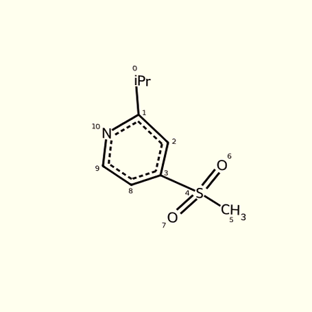 CC(C)c1cc(S(C)(=O)=O)ccn1